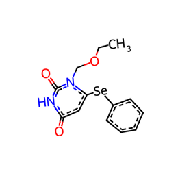 CCOCn1c([Se]c2ccccc2)cc(=O)[nH]c1=O